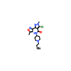 Cc1cc(-c2nn(C)c(Cl)c2C(=O)NC2CCN(CCC(C)(C)C)CC2)no1